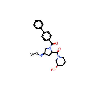 CON=C1CC(C(=O)N2CCCC(O)C2)N(C(=O)c2ccc(-c3ccccc3)cc2)C1